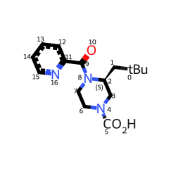 CC(C)(C)C[C@H]1CN(C(=O)O)CCN1C(=O)c1ccccn1